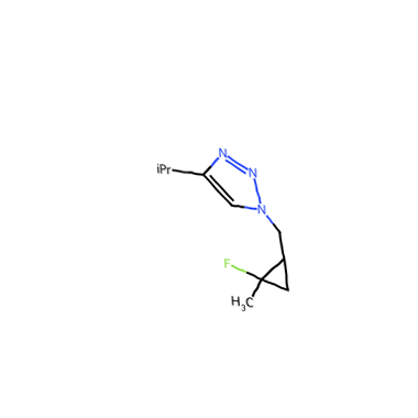 CC(C)c1cn(CC2CC2(C)F)nn1